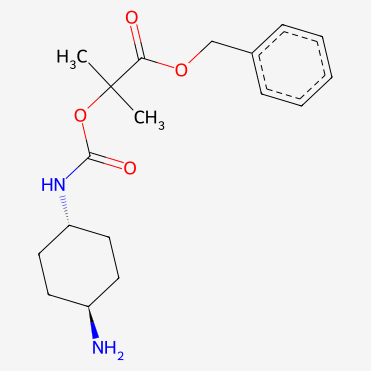 CC(C)(OC(=O)N[C@H]1CC[C@H](N)CC1)C(=O)OCc1ccccc1